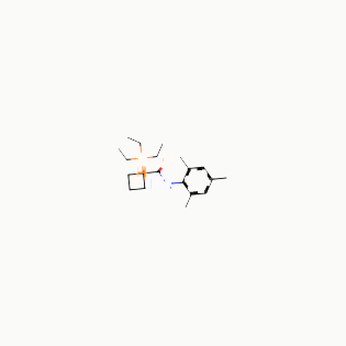 CC[PH](CC)(CC)C1(C(=O)Nc2c(C)cc(C)cc2C)CCC1